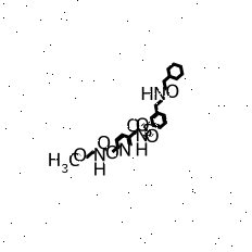 COCCNC(=O)Oc1ccc(C(=O)NS(=O)(=O)c2cccc(CCNC(=O)CC3CCCCC3)c2)cn1